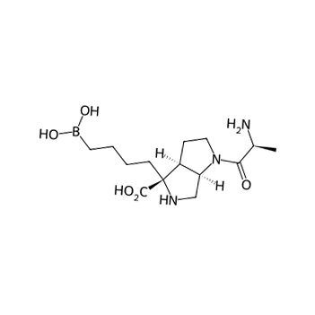 C[C@H](N)C(=O)N1CC[C@H]2[C@@H]1CN[C@@]2(CCCCB(O)O)C(=O)O